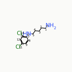 NCCCCCNc1ccc(Cl)cc1Cl